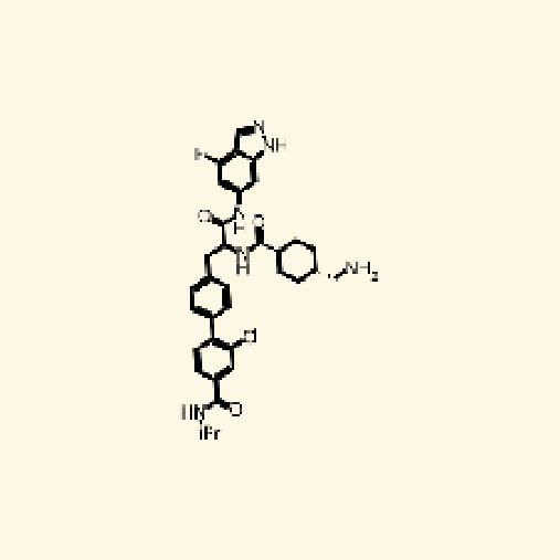 CC(C)NC(=O)c1ccc(-c2ccc(CC(NC(=O)[C@H]3CC[C@H](CN)CC3)C(=O)Nc3cc(F)c4cn[nH]c4c3)cc2)c(Cl)c1